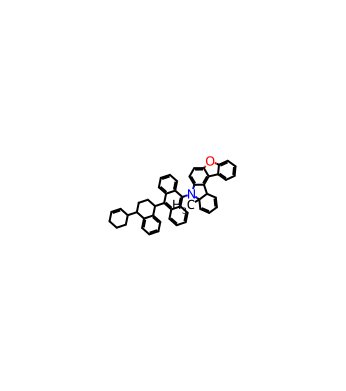 CC12C=CC=CC1c1c(ccc3oc4ccccc4c13)N2c1c2ccccc2c(C2CCC(C3C=CCCC3)c3ccccc32)c2ccccc12